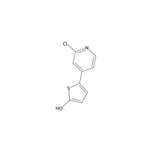 Oc1ccc(-c2ccnc(Cl)c2)s1